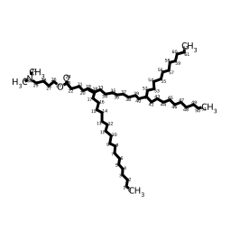 CCCCCCCCCCCCCCCCCC/C(=C\CCCC(=O)OCCCCN(C)C)CCCCCCCCC(CCCCCCCCCC)CCCCCCCCCCC